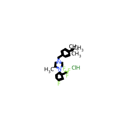 C[C@H]1CN(Cc2ccc(C(C)(C)C)cc2)CCN1c1ccc(F)cc1C(F)(F)F.Cl